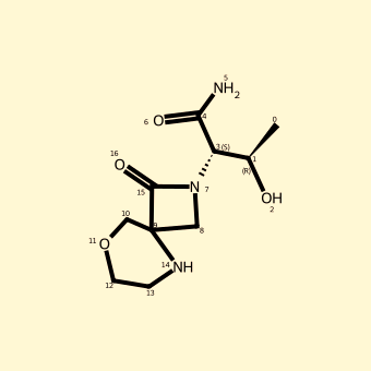 C[C@@H](O)[C@@H](C(N)=O)N1CC2(COCCN2)C1=O